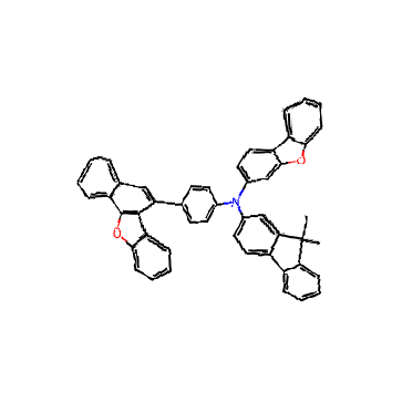 CC1(C)c2ccccc2-c2ccc(N(c3ccc(-c4cc5ccccc5c5oc6ccccc6c45)cc3)c3ccc4c(c3)oc3ccccc34)cc21